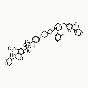 Cc1ccccc1[C@@H]1CN(Cc2cnc(N3CCOC[C@@H]3C)c(F)c2)CCN1C1CC2(CCN(c3ccc(C(=O)NS(=O)(=O)c4cc5c(c([N+](=O)[O-])c4)N[C@H](C4CCOCC4)CO5)cc3)CC2)C1